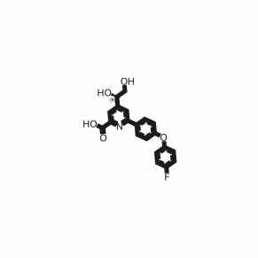 O=C(O)c1cc([C@@H](O)CO)cc(-c2ccc(Oc3ccc(F)cc3)cc2)n1